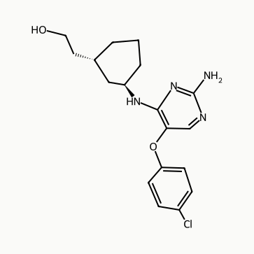 Nc1ncc(Oc2ccc(Cl)cc2)c(N[C@@H]2CCC[C@@H](CCO)C2)n1